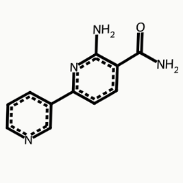 NC(=O)c1ccc(-c2cccnc2)nc1N